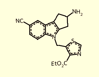 CCOC(=O)c1ncsc1Cn1c2c(c3cc(C#N)ccc31)CC(N)C2